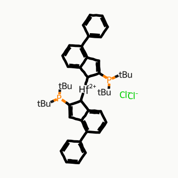 CC(C)(C)P(C1=Cc2c(-c3ccccc3)cccc2[CH]1[Hf+2][CH]1C(P(C(C)(C)C)C(C)(C)C)=Cc2c(-c3ccccc3)cccc21)C(C)(C)C.[Cl-].[Cl-]